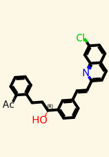 CC(=O)c1ccccc1CC[C@@H](O)c1cccc(C=Cc2ccc3ccc(Cl)cc3n2)c1